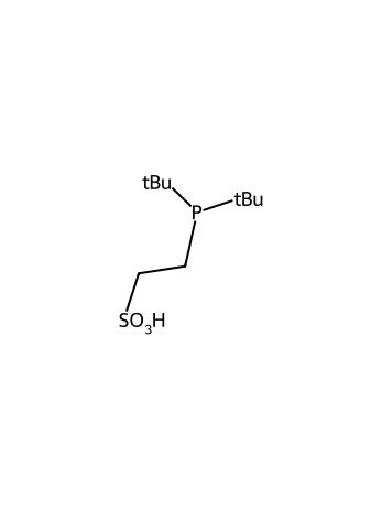 CC(C)(C)P(CCS(=O)(=O)O)C(C)(C)C